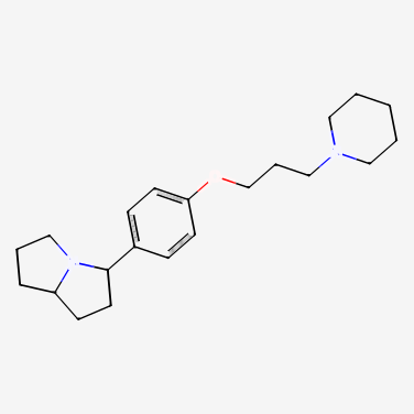 c1cc(C2CCC3CCCN32)ccc1OCCCN1CCCCC1